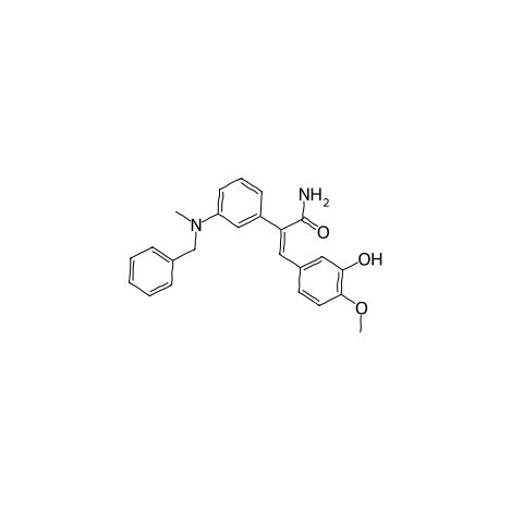 COc1ccc(C=C(C(N)=O)c2cccc(N(C)Cc3ccccc3)c2)cc1O